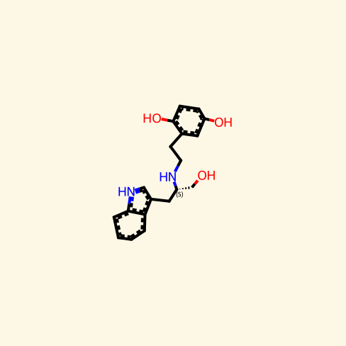 OC[C@H](Cc1c[nH]c2ccccc12)NCCc1cc(O)ccc1O